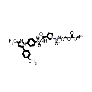 Cc1ccc(-c2cc(C(F)(F)F)nn2-c2ccc(S(=O)(=O)NC(=O)C3CCN(/[N+]([O-])=N/OCOC(=O)OC(C)C)C3)cc2)cc1